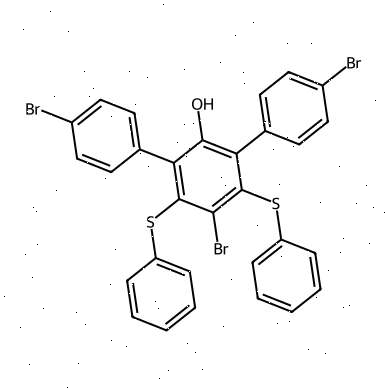 Oc1c(-c2ccc(Br)cc2)c(Sc2ccccc2)c(Br)c(Sc2ccccc2)c1-c1ccc(Br)cc1